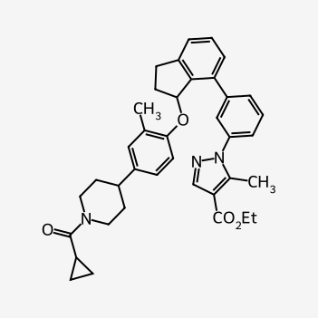 CCOC(=O)c1cnn(-c2cccc(-c3cccc4c3C(Oc3ccc(C5CCN(C(=O)C6CC6)CC5)cc3C)CC4)c2)c1C